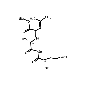 CSCC[C@H](N)C(=O)[Se]C(=O)[C@@H](NC(C=C(C)C)C(=O)OC(C)(C)C)C(C)C